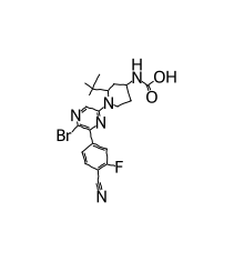 CC(C)(C)C1CC(NC(=O)O)CCN1c1cnc(Br)c(-c2ccc(C#N)c(F)c2)n1